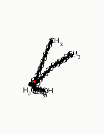 COCCOCCOCCOCCOCCOCCOCCOCCOCCOCCOCCNC(=O)CCC1(CCC(=O)NCCOCCOCCOCCOCCOCCOCCOCCOCCOCCOCCOC)c2ccccc2-c2cc3c(cc21)[N+](CCCCCC(=O)O)=C(C)C3(C)C